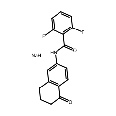 O=C1CCCc2cc(NC(=O)c3c(F)cccc3F)ccc21.[NaH]